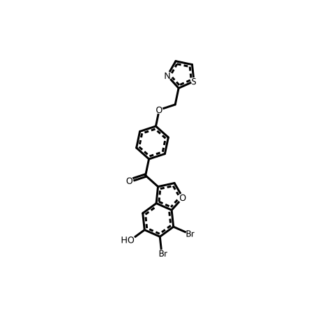 O=C(c1ccc(OCc2nccs2)cc1)c1coc2c(Br)c(Br)c(O)cc12